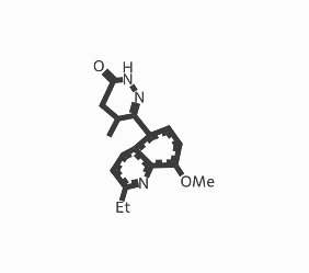 CCc1ccc2c(C3=NNC(=O)CC3C)ccc(OC)c2n1